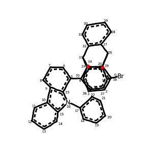 Brc1ccc(-c2cccc3c4ccccc4n(-c4ccccc4)c23)c2c1C1c3ccccc3C2c2ccccc21